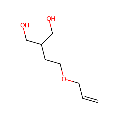 C=CCOCCC(CO)CO